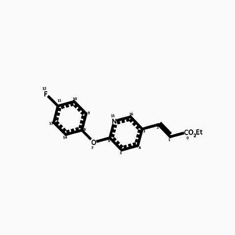 CCOC(=O)C=Cc1ccc(Oc2ccc(F)cc2)nc1